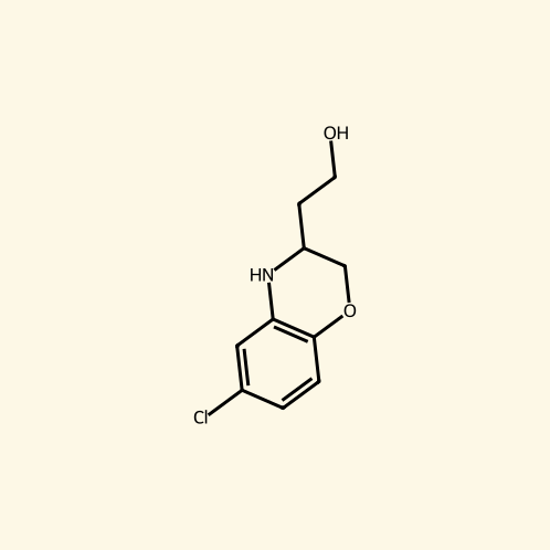 OCCC1COc2ccc(Cl)cc2N1